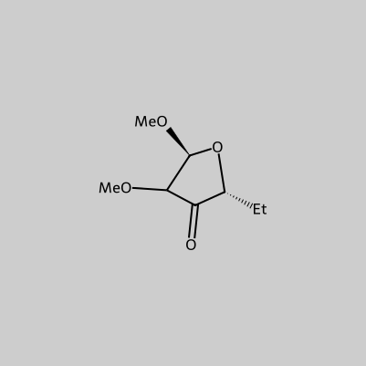 CC[C@H]1O[C@H](OC)C(OC)C1=O